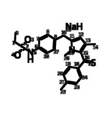 CCS(=O)(=O)Nc1ccc(Cc2cc(C)c(C(=S)c3ccc(C)cc3)n2C)cc1.[NaH]